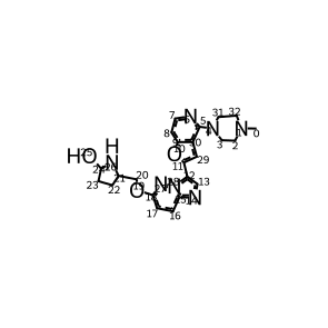 CN1CCN(c2nccc3oc(-c4cnc5ccc(OCC6CCC(O)N6)nn45)cc23)CC1